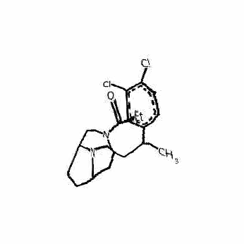 CCC(=O)N1CCC2CCC(C1)N2CCC(C)c1ccc(Cl)c(Cl)c1